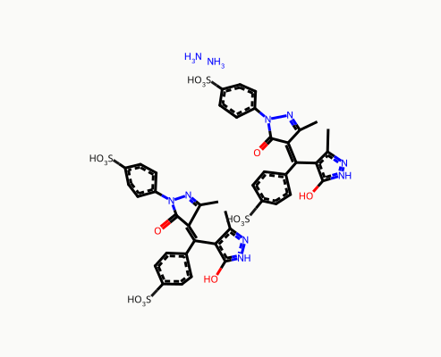 CC1=NN(c2ccc(S(=O)(=O)O)cc2)C(=O)C1=C(c1ccc(S(=O)(=O)O)cc1)c1c(C)n[nH]c1O.CC1=NN(c2ccc(S(=O)(=O)O)cc2)C(=O)C1=C(c1ccc(S(=O)(=O)O)cc1)c1c(C)n[nH]c1O.N.N